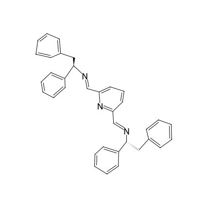 C(=N\[C@H](Cc1ccccc1)c1ccccc1)/c1cccc(/C=N/[C@H](Cc2ccccc2)c2ccccc2)n1